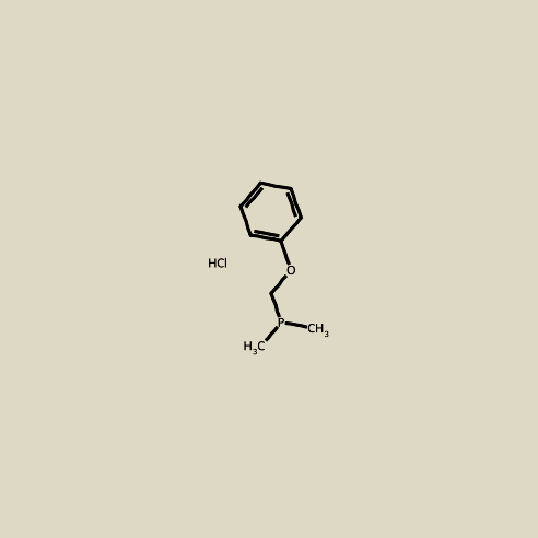 CP(C)COc1ccccc1.Cl